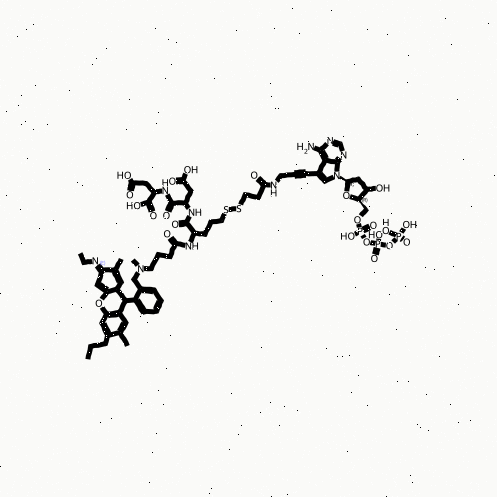 CCCc1cc2c(cc1C)C(c1ccccc1CN(C)CCCC(=O)NC(CCCSSCCC(=O)NCC#Cc1cn([C@H]3CC(O)[C@@H](COP(=O)(O)OP(=O)(O)OP(=O)(O)O)O3)c3ncnc(N)c13)C(=O)NC(CC(=O)O)C(=O)NC(CC(=O)O)C(=O)O)C1C=C(C)/C(=N/CC)C=C1O2